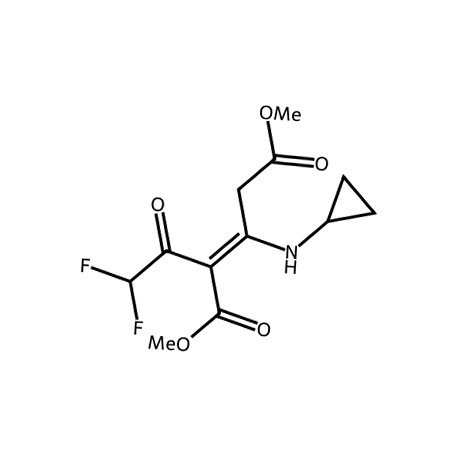 COC(=O)C/C(NC1CC1)=C(/C(=O)OC)C(=O)C(F)F